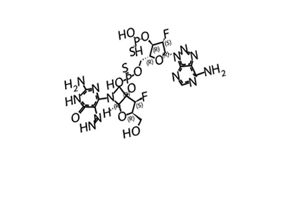 N=Nc1c(N2C[C@]3(OP(O)(=S)OC[C@H]4O[C@@H](n5nnc6c(N)ncnc65)[C@@H](F)[C@@H]4O[PH](O)=S)[C@@H](F)[C@@H](CO)O[C@@H]23)nc(N)[nH]c1=O